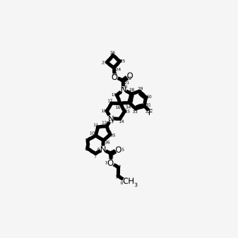 CCCOC(=O)N1CCCC2CC(N3CCC4(CC3)CN(C(=O)OC3CCC3)c3ccc(F)cc34)CC21